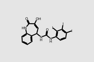 O=C(Nc1ccc(I)c(I)c1I)NC1C=C(O)C(=O)Nc2ccccc21